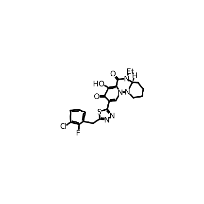 CCN1C(=O)c2c(O)c(=O)c(-c3nnc(Cc4cccc(Cl)c4F)s3)cn2N2CCCC[C@@H]12